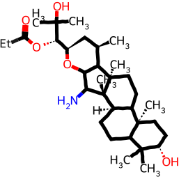 CCC(=O)O[C@@H]([C@H]1C[C@@H](C)C2C(O1)C(N)[C@@]1(C)[C@@H]3CCC4C(C)(C)[C@@H](O)CC[C@]4(C)C3CC[C@]21C)C(C)(C)O